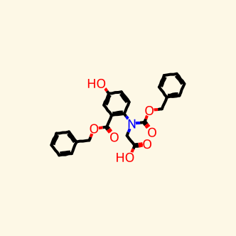 O=C(O)CN(C(=O)OCc1ccccc1)c1ccc(O)cc1C(=O)OCc1ccccc1